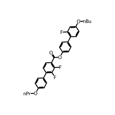 CCCCOc1ccc(-c2ccc(OC(=O)c3ccc(-c4ccc(OCCC)cc4)c(F)c3F)cc2)c(F)c1